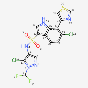 O=S(=O)(Nc1cnn(C(F)F)c1Cl)c1c[nH]c2c(-c3cscn3)c(Cl)ccc12